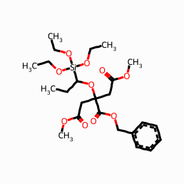 CCO[Si](OCC)(OCC)C(CC)OC(CC(=O)OC)(CC(=O)OC)C(=O)OCc1ccccc1